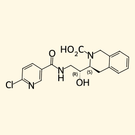 O=C(NC[C@@H](O)[C@@H]1Cc2ccccc2CN1C(=O)O)c1ccc(Cl)nc1